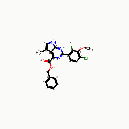 COc1c(Cl)ccc(-c2nc(C(=O)OCc3ccccc3)c3c(C)c[nH]c3n2)c1F